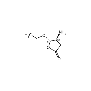 CCO[C@H]1OC(=O)C[C@@H]1N